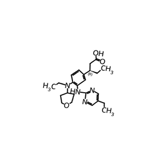 CCc1cnc(Nc2cc([C@H](CC)CC(=O)O)ccc2N(CC)C2CCOCC2)nc1